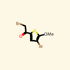 COc1sc(C(=O)CBr)cc1Br